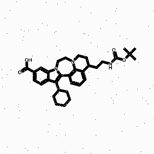 CC(C)(C)OC(=O)NCCC1CCN2CCn3c(c(C4CCCCC4)c4ccc(C(=O)O)cc43)-c3cccc1c32